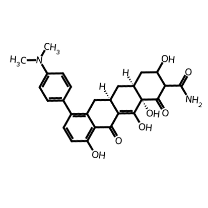 CN(C)c1ccc(-c2ccc(O)c3c2C[C@H]2C[C@H]4CC(O)C(C(N)=O)C(=O)[C@@]4(O)C(O)=C2C3=O)cc1